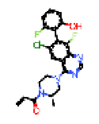 C=CC(=O)N1CCN(c2ncnc3c(F)c(-c4c(O)cccc4F)c(Cl)cc23)C[C@H]1C